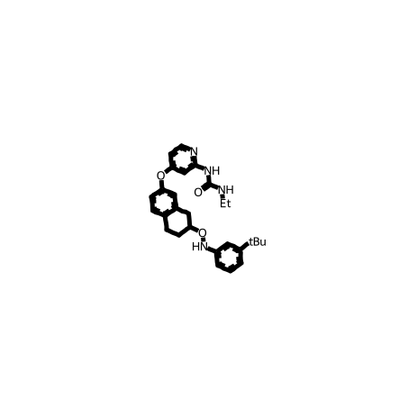 CCNC(=O)Nc1cc(Oc2ccc3c(c2)CC(ONc2cccc(C(C)(C)C)c2)CC3)ccn1